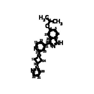 CC(C)Oc1ccc2[nH]nc(-c3ccnc(N4CC(n5cccn5)C4)c3)c2c1